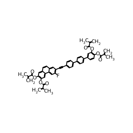 C=C(C)C(=O)Oc1ccc(-c2ccc(-c3ccc(C#Cc4cc5ccc6cc(OC(=O)C(=C)C)c(OC(=O)C(=C)C)cc6c5cc4F)cc3)cc2)cc1OC(=O)C(=C)C